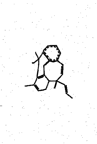 CC=CC1(C)/C=C\c2cccc3c2CC2=C(C(C)=CCC21)C3(C)C